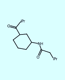 CC(C)CC(=O)NC1CCCC(C(=O)C(C)C)C1